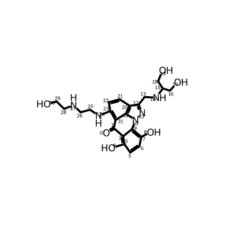 O=c1c2c(O)ccc(O)c2n2nc(CNC(CO)CO)c3ccc(NCCNCCO)c1c32